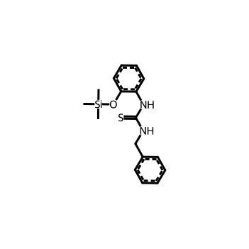 C[Si](C)(C)Oc1ccccc1NC(=S)NCc1ccccc1